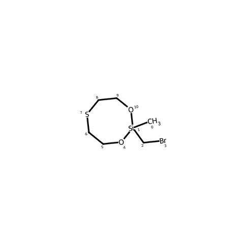 C[Si]1(CBr)OCCSCCO1